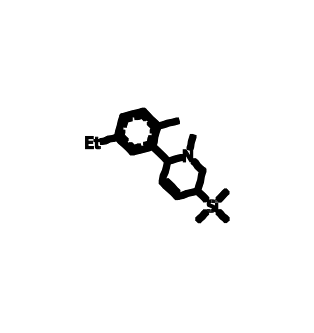 CCc1ccc(C)c(C2C=CC([Si](C)(C)C)CN2C)c1